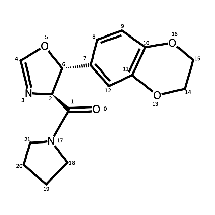 O=C([C@H]1N=CO[C@@H]1c1ccc2c(c1)OCCO2)N1CCCC1